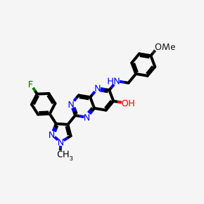 COc1ccc(CNc2nc3cnc(-c4cn(C)nc4-c4ccc(F)cc4)nc3cc2O)cc1